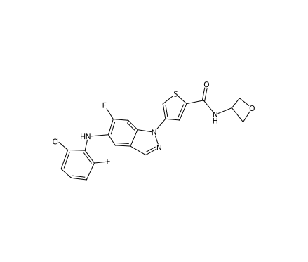 O=C(NC1COC1)c1cc(-n2ncc3cc(Nc4c(F)cccc4Cl)c(F)cc32)cs1